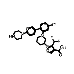 O=C(O)c1cnn(C2CCCN(c3cc(Cl)ccc3-c3ccc(N4CCNCC4)nc3)C2)c1C(F)F